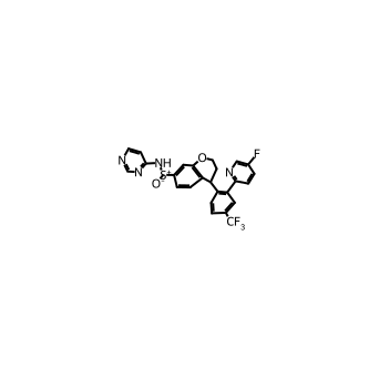 [O-][S+](Nc1ccncn1)c1ccc2c(c1)OCCC2c1ccc(C(F)(F)F)cc1-c1ccc(F)cn1